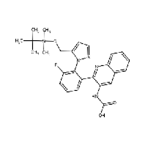 CC(C)(C)[Si](C)(C)OCc1ccnn1-c1c(F)cccc1-c1nc2ccccc2cc1NC(=O)O